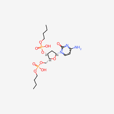 CCCCOP(=O)(O)OC[C@H]1O[C@@H](n2ccc(N)nc2=O)C[C@H]1OP(=O)(O)OCCCC